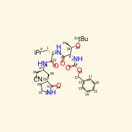 CC(C)C[C@H](NC(=O)[C@@H](NC(=O)OCc1ccccc1)[C@@H](C)OC(C)(C)C)C(=O)N[C@H](CC#N)C[C@@H]1CCNC1=O